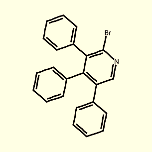 Brc1ncc(-c2ccccc2)c(-c2ccccc2)c1-c1ccccc1